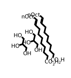 CCCCCCCCC=CCCCCCCCC(=O)O.CCCCCCCCC=CCCCCCCCC(=O)O.OCC(O)CO.OCC(O)CO